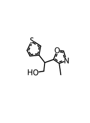 Cc1ncoc1C(CO)c1ccsc1